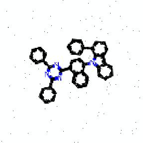 c1ccc(-c2nc(-c3ccccc3)nc(-c3ccc(-n4c5ccccc5c5cccc(-c6ccccc6)c54)c4ccccc34)n2)cc1